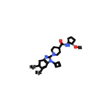 CCO[C@H]1CCCC1NC(=O)C1CCN(c2nc3cc(C)c(C)cc3n2C2=CC=C2)CC1